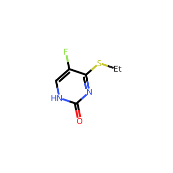 CCSc1nc(=O)[nH]cc1F